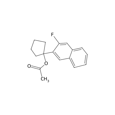 CC(=O)OC1(c2cc3ccccc3cc2F)CCCC1